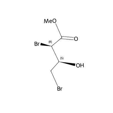 COC(=O)[C@H](Br)[C@@H](O)CBr